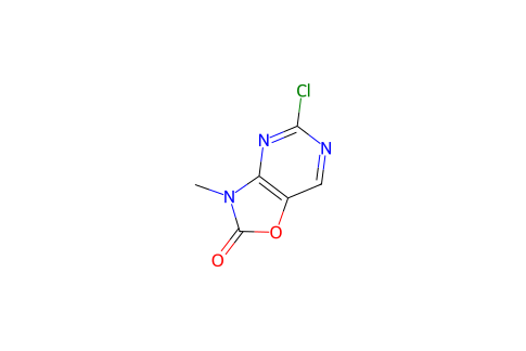 Cn1c(=O)oc2cnc(Cl)nc21